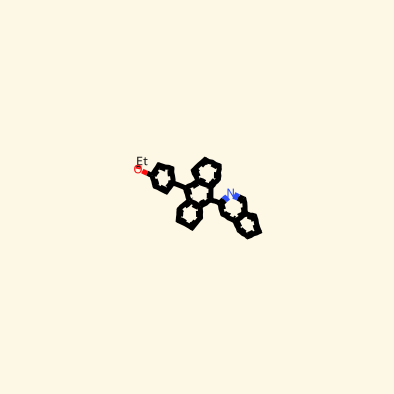 CCOc1ccc(-c2c3ccccc3c(-c3cc4ccccc4cn3)c3ccccc23)cc1